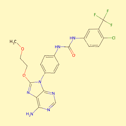 COCCOc1nc2c(N)ncnc2n1-c1ccc(NC(=O)Nc2ccc(Cl)c(C(F)(F)F)c2)cc1